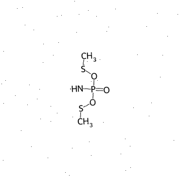 CSOP([NH])(=O)OSC